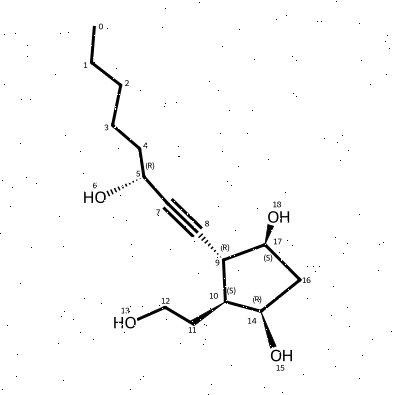 CCCCC[C@@H](O)C#C[C@H]1[C@H](CCO)[C@H](O)C[C@@H]1O